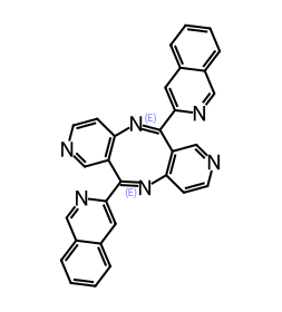 c1ccc2cc(/C3=N/c4ccncc4/C(c4cc5ccccc5cn4)=N\c4ccncc43)ncc2c1